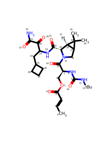 C/C=C/C(=O)OC[C@H](NC(=O)NC(C)(C)C)C(=O)N1CC2[C@@H]([C@H]1C(=O)NC(CC1CCC1)C(=O)C(N)=O)C2(C)C